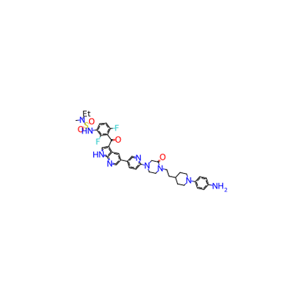 CCN(C)S(=O)(=O)Nc1ccc(F)c(C(=O)c2c[nH]c3ncc(-c4ccc(N5CCN(CCC6CCN(c7ccc(N)cc7)CC6)C(=O)C5)nc4)cc23)c1F